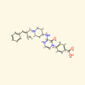 C/C(=C\c1ccccc1)CN1CCC(Nc2nccn(-c3ccc(C(=O)O)cc3)c2=O)CC1